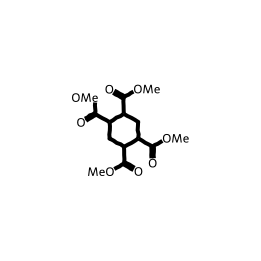 COC(=O)C1CC(C(=O)OC)C(C(=O)OC)CC1C(=O)OC